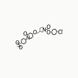 CS(=O)(=O)c1ccc(-n2ccc(OCC3CCN(C(=O)Oc4ccc(Cl)cc4)C3)cc2=O)cc1